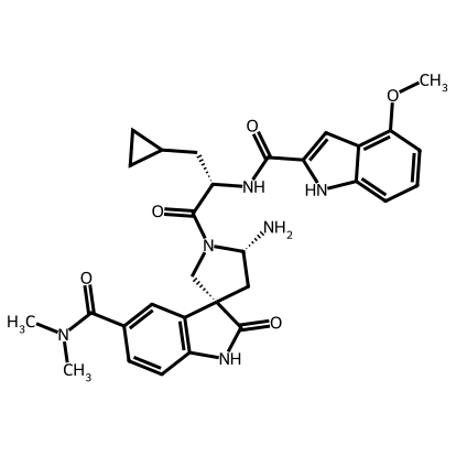 COc1cccc2[nH]c(C(=O)N[C@@H](CC3CC3)C(=O)N3C[C@]4(C[C@H]3N)C(=O)Nc3ccc(C(=O)N(C)C)cc34)cc12